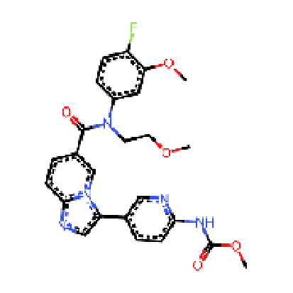 COCCN(C(=O)c1ccc2ncc(-c3ccc(NC(=O)OC)nc3)n2c1)c1ccc(F)c(OC)c1